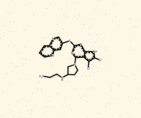 CCc1[nH]c2nc(Sc3cnc4cccnc4c3)nc(N3CCC(NCCN)C3)c2c1Cl